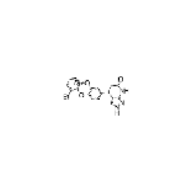 CCc1ccccc1Oc1ccc(C2CC(=O)Nc3n[nH]cc32)cc1OC